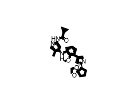 COc1c(Nc2cc(NC(=O)C3CC3)ncc2C)cccc1-c1cnn(C2CCCC23OCCO3)c1